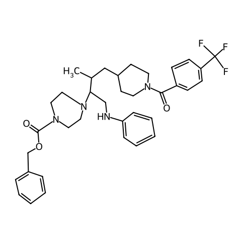 CC(CC1CCN(C(=O)c2ccc(C(F)(F)F)cc2)CC1)C(CNc1ccccc1)N1CCN(C(=O)OCc2ccccc2)CC1